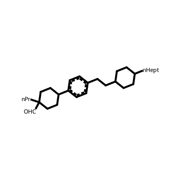 CCCCCCCC1CCC(CCc2ccc(C3CCC(C=O)(CCC)CC3)cc2)CC1